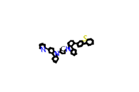 c1ccc(-c2ccc3c(c2)c2ccccc2n3-c2ccc(-n3c4ccccc4c4c(-c5ccc6c(c5)sc5ccccc56)cccc43)cc2)nc1